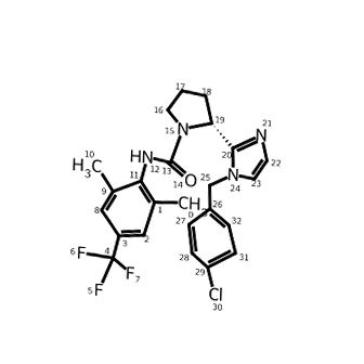 Cc1cc(C(F)(F)F)cc(C)c1NC(=O)N1CCC[C@@H]1c1nccn1Cc1ccc(Cl)cc1